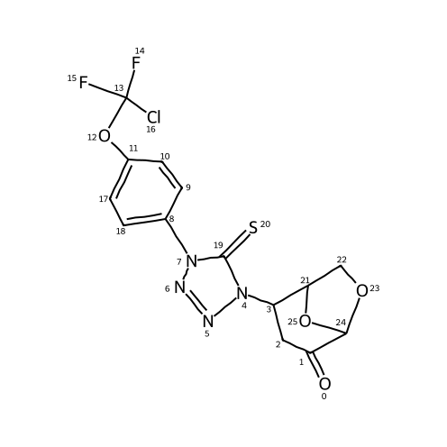 O=C1CC(n2nnn(-c3ccc(OC(F)(F)Cl)cc3)c2=S)C2COC1O2